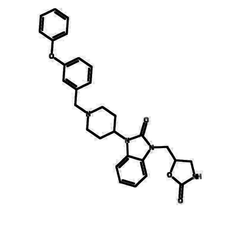 O=C1NCC(Cn2c(=O)n(C3CCN(Cc4cccc(Oc5ccccc5)c4)CC3)c3ccccc32)O1